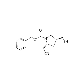 N#CC[C@@H]1C[C@H](CS)CN1C(=O)OCc1ccccc1